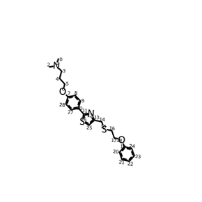 CN(C)CCCOc1ccc(-c2nc(CSCCOc3ccccc3)cs2)cc1